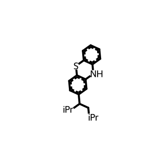 CC(C)CC(c1ccc2c(c1)Nc1ccccc1S2)C(C)C